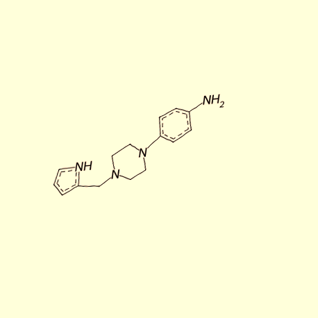 Nc1ccc(N2CCN(Cc3ccc[nH]3)CC2)cc1